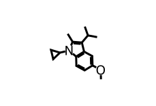 COc1ccc2c(c1)c(C(C)C)c(C)n2C1CC1